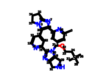 Cc1cccc(-c2nc3n(c2-c2ccnc(-c4nc5c(n4COCC[Si](C)(C)C)CNC5)c2)CCC3)n1